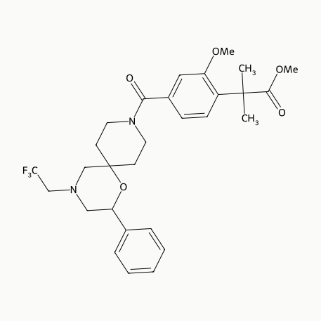 COC(=O)C(C)(C)c1ccc(C(=O)N2CCC3(CC2)CN(CC(F)(F)F)CC(c2ccccc2)O3)cc1OC